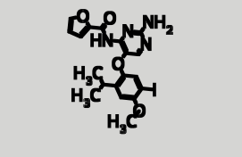 COc1cc(C(C)C)c(Oc2cnc(N)nc2NC(=O)c2ccco2)cc1I